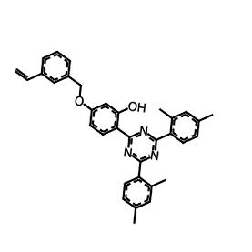 C=Cc1cccc(COc2ccc(-c3nc(-c4ccc(C)cc4C)nc(-c4ccc(C)cc4C)n3)c(O)c2)c1